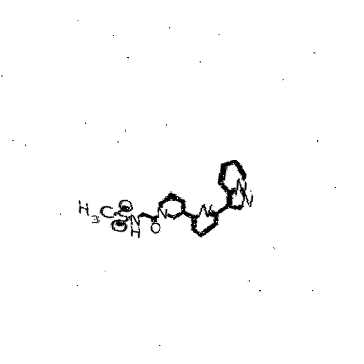 CS(=O)(=O)NCC(=O)N1CCCC(c2cccc(-c3cnn4ccccc34)n2)C1